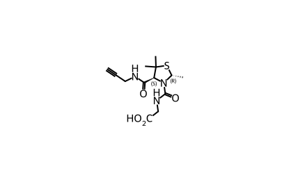 C#CCNC(=O)[C@@H]1N(C(=O)NCC(=O)O)[C@@H](C)SC1(C)C